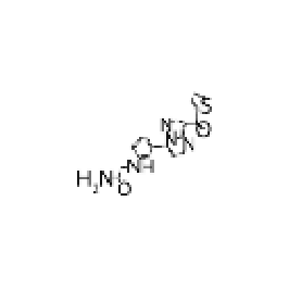 NC(=O)CNc1cccc(-c2ccnc3c(C(=O)c4cccs4)cnn23)c1